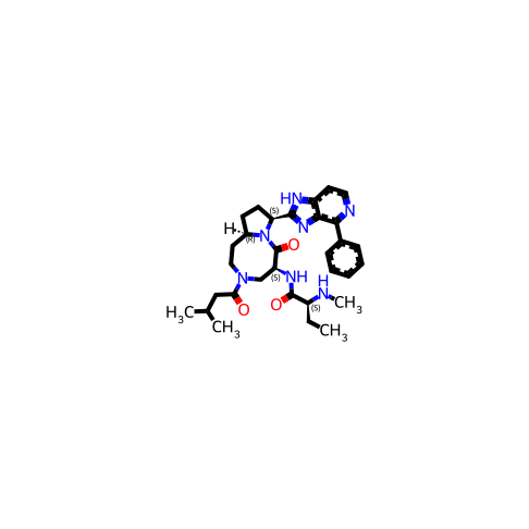 CC[C@H](NC)C(=O)N[C@H]1CN(C(=O)CC(C)C)CC[C@H]2CC[C@@H](c3nc4c(-c5ccccc5)nccc4[nH]3)N2C1=O